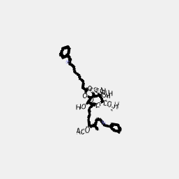 CC(=O)OC(CCCC12OC(C(=O)O)C(O)(C(=O)O)C(C(=O)O)(O1)C(OC(=O)CCCCCC/C=C/c1ccccc1)C2O)C(C)C/C=C/c1ccccc1